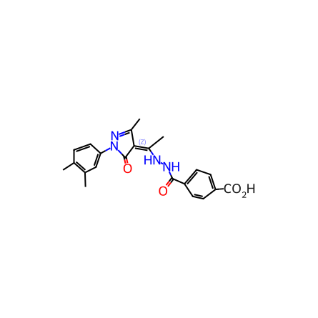 CC1=NN(c2ccc(C)c(C)c2)C(=O)/C1=C(/C)NNC(=O)c1ccc(C(=O)O)cc1